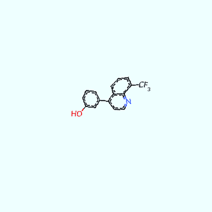 Oc1cccc(-c2ccnc3c(C(F)(F)F)cccc23)c1